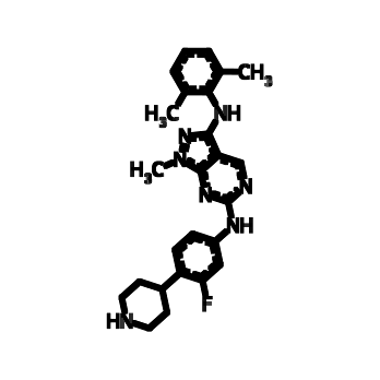 Cc1cccc(C)c1Nc1nn(C)c2nc(Nc3ccc(C4CCNCC4)c(F)c3)ncc12